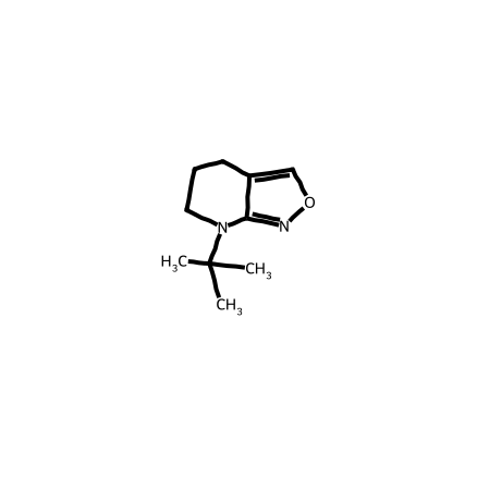 CC(C)(C)N1CCCc2conc21